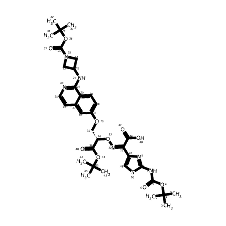 CC(C)(C)OC(=O)Nc1nc(/C(=N/O[C@@H](COc2ccc3c(NC4CN(C(=O)OC(C)(C)C)C4)nccc3c2)C(=O)OC(C)(C)C)C(=O)O)cs1